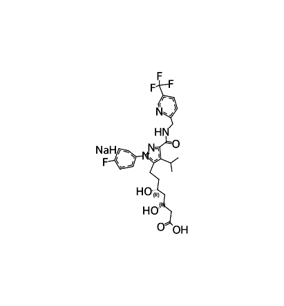 CC(C)c1c(C(=O)NCc2ccc(C(F)(F)F)cn2)nn(-c2ccc(F)cc2)c1CC[C@@H](O)C[C@@H](O)CC(=O)O.[NaH]